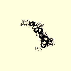 COc1ccc(C(=O)O[C@H]2CC[C@@]3(C)[C@@H]4CC[C@H]5[C@]6(O)C[C@H](O)[C@@]7(O)[C@@H](CN8C[C@@H](C)CC[C@H]8[C@@]7(C)O)[C@]6(O)C[C@@]53OC24O)cc1OC